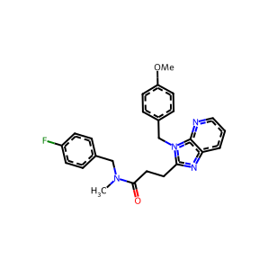 COc1ccc(Cn2c(CCC(=O)N(C)Cc3ccc(F)cc3)nc3cccnc32)cc1